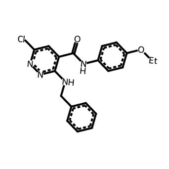 CCOc1ccc(NC(=O)c2cc(Cl)nnc2NCc2ccccc2)cc1